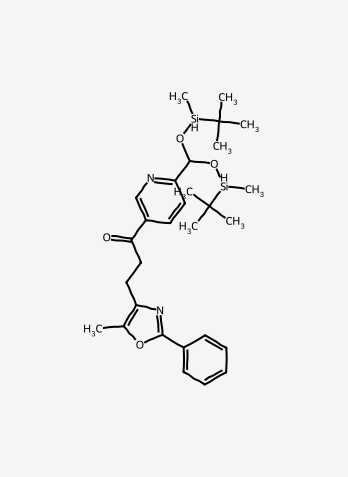 Cc1oc(-c2ccccc2)nc1CCC(=O)c1ccc(C(O[SiH](C)C(C)(C)C)O[SiH](C)C(C)(C)C)nc1